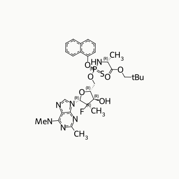 CNc1nc(C)nc2c1ncn2[C@@H]1O[C@H](CO[P@](=S)(N[C@H](C)C(=O)OCC(C)(C)C)Oc2cccc3ccccc23)[C@@H](O)[C@@]1(C)F